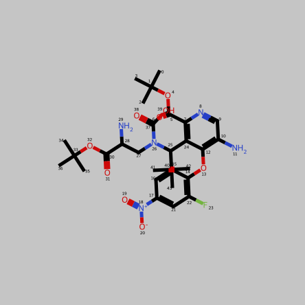 CC(C)(C)OC(=O)c1ncc(N)c(Oc2ccc([N+](=O)[O-])cc2F)c1C(N(CC(N)C(=O)OC(C)(C)C)C(=O)O)C(C)(C)C